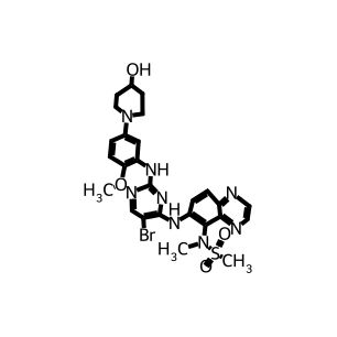 COc1ccc(N2CCC(O)CC2)cc1Nc1ncc(Br)c(Nc2ccc3nccnc3c2N(C)S(C)(=O)=O)n1